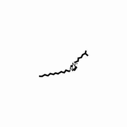 CCCCCCCCCCCCn1cc[n+](CCCCCC(C)C)c1